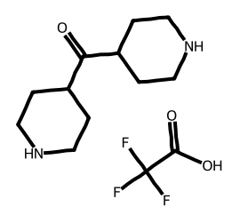 O=C(C1CCNCC1)C1CCNCC1.O=C(O)C(F)(F)F